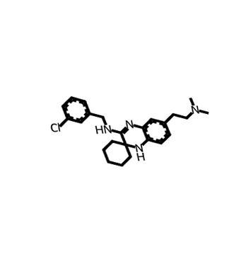 CN(C)CCc1ccc2c(c1)N=C(NCc1cccc(Cl)c1)C1(CCCCC1)N2